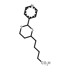 O=C(O)CCCCC1CCSC(c2ccncc2)S1